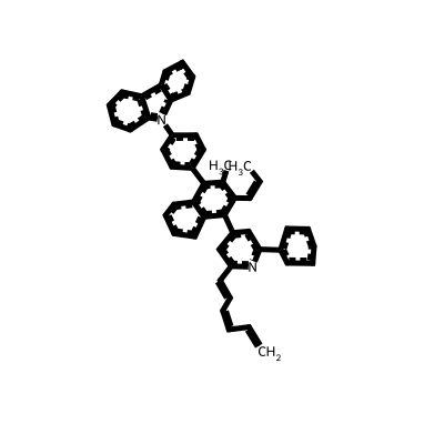 C=C/C=C\C=C\c1cc(-c2c(/C=C\C)c(C)c(-c3ccc(-n4c5ccccc5c5ccccc54)cc3)c3ccccc23)cc(-c2ccccc2)n1